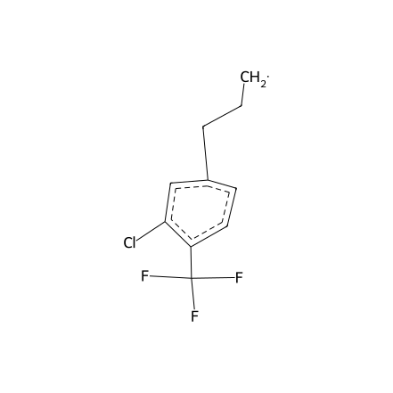 [CH2]CCc1ccc(C(F)(F)F)c(Cl)c1